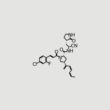 C=C(/C=C\C=C/C)[C@@H]1C[C@@H](C(=O)N[C@H](C#N)C[C@@H]2CCNC2=O)N(C(=O)/C=C/c2ccc(Cl)cc2F)C1